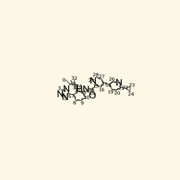 CC(n1cnnc1-c1cccc(NC(=O)c2cc(-c3ccc(C4CC4)nc3)ccn2)c1)C(C)(C)C